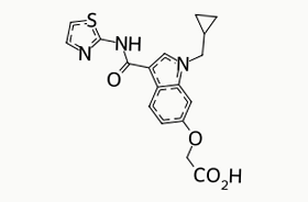 O=C(O)COc1ccc2c(C(=O)Nc3nccs3)cn(CC3CC3)c2c1